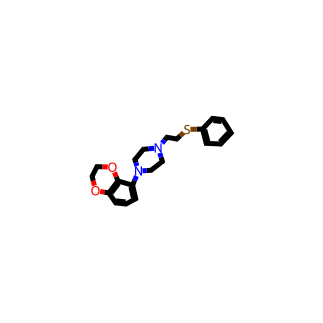 c1ccc(SCCN2CCN(c3cccc4c3OCCO4)CC2)cc1